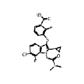 CN(C)C(=O)Cn1c(C2CC2)c(Sc2cccc(C(=O)O)c2F)c2ccc(Cl)c(F)c21